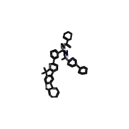 C=C(/N=C(\N=C(/C)c1ccc(-c2ccccc2)cc1)c1cccc(-c2ccc3c(c2)C(C)(C)c2cc4c(cc2-3)C2=CC=CCC=C2C4)c1)C1=CCCCC1